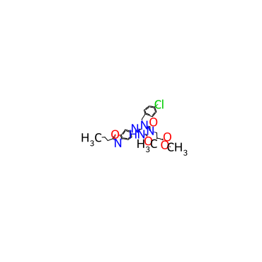 CCCc1nc2ccc(/N=c3\[nH]c(=O)n(C[C@H](C)C(=O)OC)c(=O)n3Cc3ccc(Cl)cc3)cc2o1